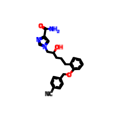 N#Cc1ccc(COc2ccccc2CCC[C@H](O)Cn2cnc(C(N)=O)c2)cc1